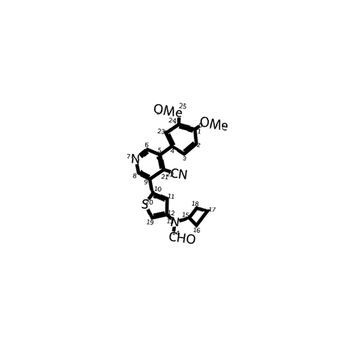 COc1ccc(-c2cncc(-c3cc(N(C=O)C4CCC4)cs3)c2C#N)cc1OC